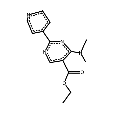 CCOC(=O)c1cnc(-c2ccncc2)nc1N(C)C